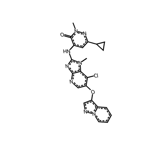 Cn1nc(C2CC2)cc(Nc2nc3ncc(Oc4cnn5ccccc45)c(Cl)c3n2C)c1=O